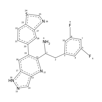 NC(Cc1cc(F)cc(F)c1)c1nc2cn[nH]c2cc1-c1ccc2scnc2c1